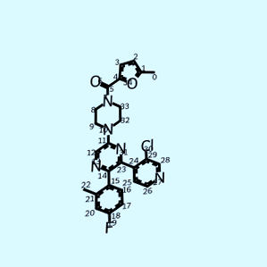 Cc1ccc(C(=O)N2CCN(c3cnc(-c4ccc(F)cc4C)c(-c4ccncc4Cl)n3)CC2)o1